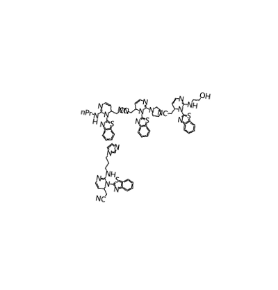 CCCNC1=NC=CC(CC#N)N1c1nc2ccccc2s1.N#CCC1C=CN=C(N2CCCC2)N1c1nc2ccccc2s1.N#CCC1C=CN=C(NCCCn2ccnc2)N1c1nc2ccccc2s1.N#CCC1C=CN=C(NCCO)N1c1nc2ccccc2s1